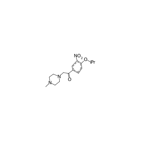 CC(C)Oc1ccc(C(=O)CN2CCN(C)CC2)cc1[N+](=O)[O-]